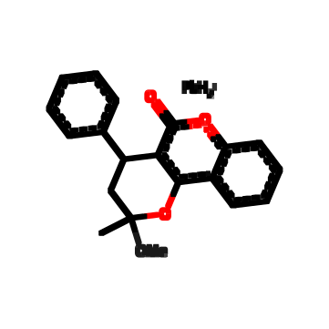 COC1(C)CC(c2ccccc2)c2c(c3ccccc3oc2=O)O1.[PbH2]